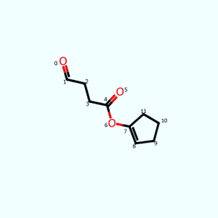 O=CCCC(=O)OC1=CCCC1